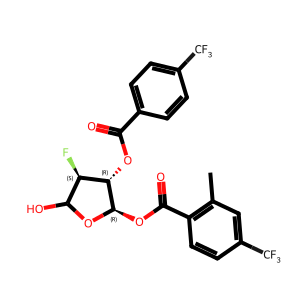 Cc1cc(C(F)(F)F)ccc1C(=O)O[C@H]1OC(O)[C@@H](F)[C@@H]1OC(=O)c1ccc(C(F)(F)F)cc1